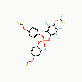 O=P(Oc1ccc(OC=S)cc1)(Oc1ccc(OC=S)cc1F)Oc1c(F)c(F)c(OC(F)=S)c(F)c1F